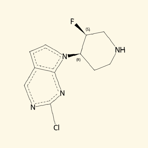 F[C@H]1CNCC[C@H]1n1ccc2cnc(Cl)nc21